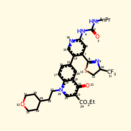 CCCNC(=O)Nc1cc(C2=NC(C(F)(F)F)CS2)c(-c2ccc3c(c2)c(=O)c(C(=O)OCC)cn3CCC2CCOCC2)cn1